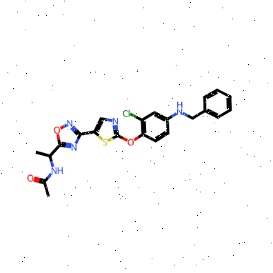 CC(=O)NC(C)c1nc(-c2cnc(Oc3ccc(NCc4ccccc4)cc3Cl)s2)no1